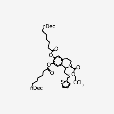 CCCCCCCCCCCCCCCC(=O)Oc1cc2c(cc1OC(=O)CCCCCCCCCCCCCCC)C(CSc1cccs1)N(C(=O)OCC(Cl)(Cl)Cl)CC2